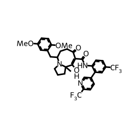 COc1ccc(OC)c(CC2CCC(=O)/C(C(=O)Nc3ccc(C(F)(F)F)cc3-c3ccc(C(F)(F)F)nc3)=C(/O)C3(C)CCCN23)c1